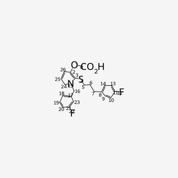 O=C(O)OC1=C(SCCCc2ccc(F)cc2)N(Cc2cccc(F)c2)CC=C1